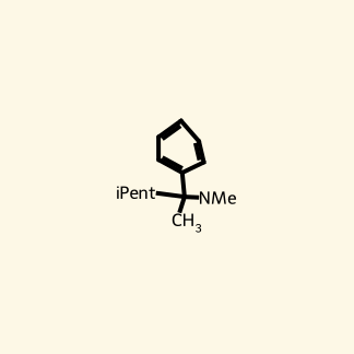 CCCC(C)C(C)(NC)c1ccccc1